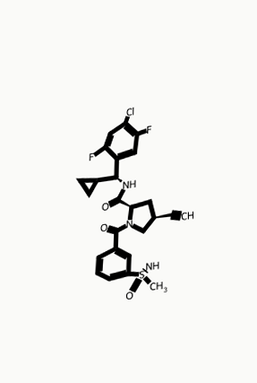 C#C[C@@H]1C[C@H](C(=O)N[C@@H](c2cc(F)c(Cl)cc2F)C2CC2)N(C(=O)c2cccc(S(C)(=N)=O)c2)C1